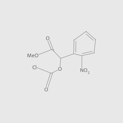 COC(=O)C(OC(=O)Cl)c1ccccc1[N+](=O)[O-]